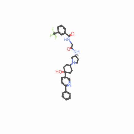 O=C(CNC(=O)c1cccc(C(F)(F)F)c1)N[C@@H]1CCN(C2CCC(O)(c3ccc(-c4ccccc4)nc3)CC2)C1